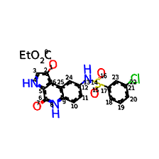 CCOC(=O)Oc1c[nH]c2c(=O)[nH]c3ccc(NS(=O)(=O)c4cccc(Cl)c4)cc3c12